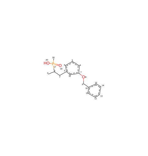 CC(Cc1cccc(OCc2ccccc2)c1)P(C)(=O)O